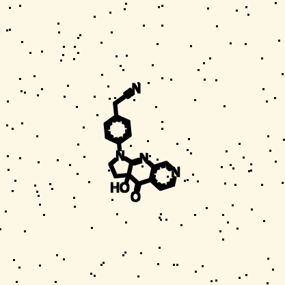 N#CCc1ccc(N2CCC3(O)C(=O)c4ccncc4N=C23)cc1